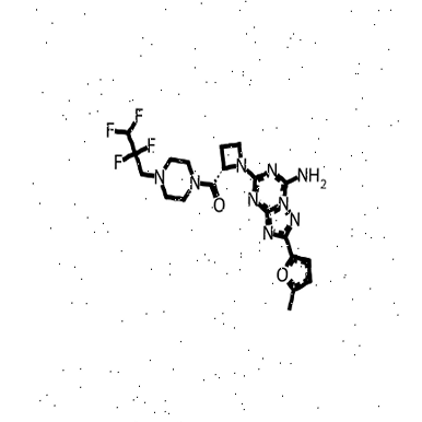 Cc1ccc(-c2nc3nc(N4CC[C@H]4C(=O)N4CCN(CC(F)(F)C(F)F)CC4)nc(N)n3n2)o1